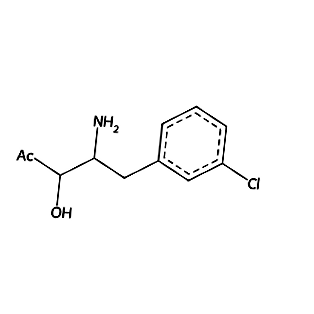 CC(=O)C(O)C(N)Cc1cccc(Cl)c1